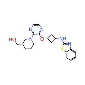 OC[C@@H]1CCCN(c2nccnc2O[C@H]2C[C@@H](Nc3nc4ccccc4s3)C2)C1